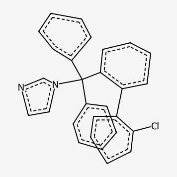 Clc1ccccc1-c1ccccc1C(c1ccccc1)(c1ccccc1)n1ccnc1